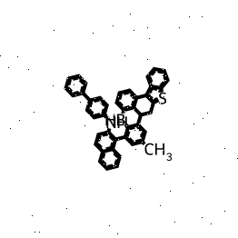 Cc1cc(-c2c(Nc3ccc(-c4ccccc4)cc3)ccc3ccccc23)c2c(c1)C1Cc3sc4ccccc4c3-c3cccc(c31)B2